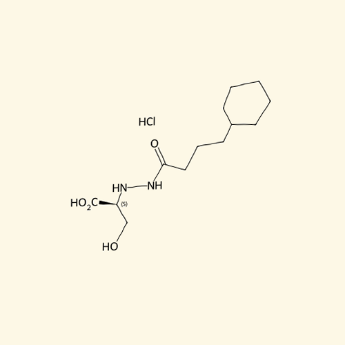 Cl.O=C(CCCC1CCCCC1)NN[C@@H](CO)C(=O)O